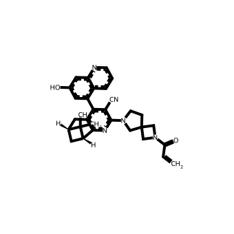 C=CC(=O)N1CC2(CCN(c3nc4c(c(-c5cc(O)cc6ncccc56)c3C#N)C[C@H]3C[C@@H]4C3(C)C)C2)C1